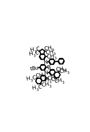 Cc1cc2c(cc1N1c3cc4c(cc3B3c5cc(-c6ccccc6)ccc5N(c5ccc6c(c5C)C(C)(C)CC6(C)C)c5cc(C(C)(C)C)cc1c53)C(C)(C)CCC4(C)C)C(C)(C)CCC2(C)C